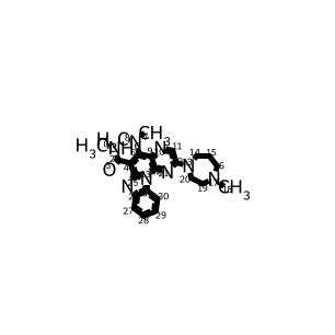 CNC(=O)c1c(N(C)C)c2ncc(N3CCCN(C)CC3)nc2n2c1nc1ccccc12